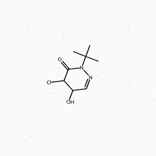 CC(C)(C)N1N=CC(O)C(Cl)C1=O